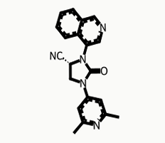 Cc1cc(N2C[C@H](C#N)N(c3cncc4ccccc34)C2=O)cc(C)n1